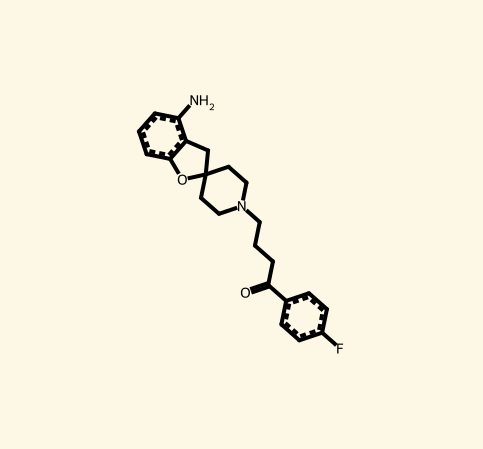 Nc1cccc2c1CC1(CCN(CCCC(=O)c3ccc(F)cc3)CC1)O2